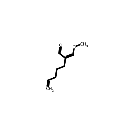 C=CCCCC(C=O)=COC